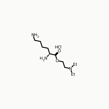 CCN(CC)CCOC(=O)[C@@H](N)CCCCN.Cl